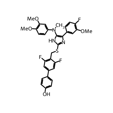 COc1cc(-c2nc(SCc3c(F)cc(-c4ccc(O)cc4)cc3F)[nH]c2N(C)c2ccc(OC)c(OC)c2)ccc1F